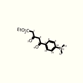 CCOC(=O)CC(=O)CC(=O)c1ccc(N(C)C)cc1